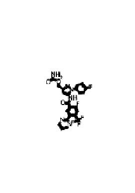 NC(=O)OCc1cc(NC(=O)c2cc(-c3ncccn3)c(C(F)(F)F)cc2F)n(-c2ccc(F)cc2)n1